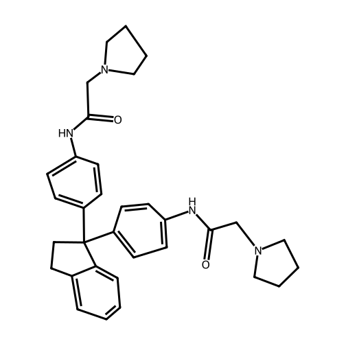 O=C(CN1CCCC1)Nc1ccc(C2(c3ccc(NC(=O)CN4CCCC4)cc3)CCc3ccccc32)cc1